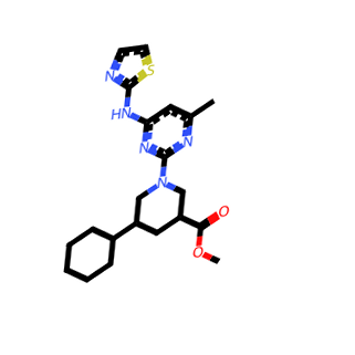 COC(=O)C1CC(C2CCCCC2)CN(c2nc(C)cc(Nc3nccs3)n2)C1